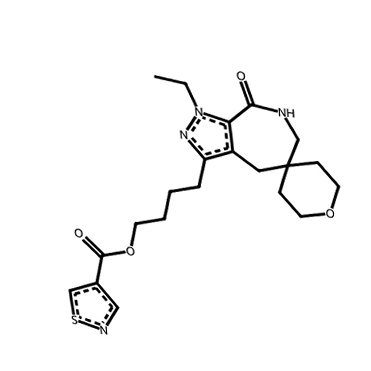 CCn1nc(CCCCOC(=O)c2cnsc2)c2c1C(=O)NCC1(CCOCC1)C2